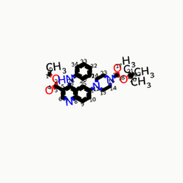 CCOC(=O)c1cnc2ccc(N3CCN(C(=O)OC(C)(C)C)CC3)cc2c1Nc1ccccc1